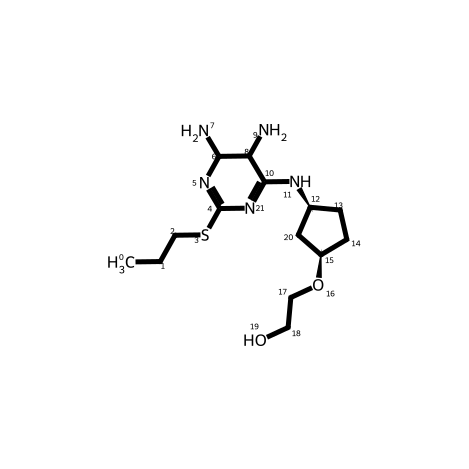 CCCSC1=NC(N)C(N)C(N[C@H]2CC[C@@H](OCCO)C2)=N1